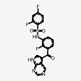 O=C(c1cccc(NS(=O)(=O)c2ccc(F)cc2F)c1F)c1c[nH]c2ncncc12